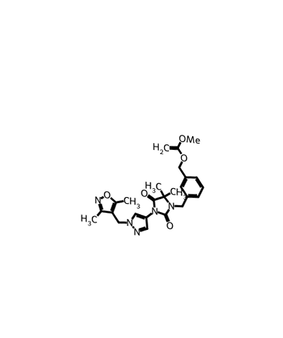 C=C(OC)OCc1cccc(CN2C(=O)N(c3cnn(Cc4c(C)noc4C)c3)C(=O)C2(C)C)c1